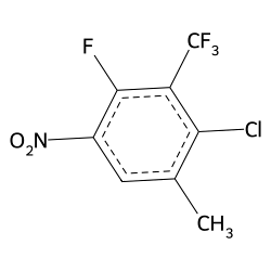 Cc1cc([N+](=O)[O-])c(F)c(C(F)(F)F)c1Cl